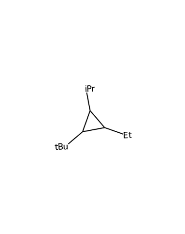 CCC1C(C(C)C)C1C(C)(C)C